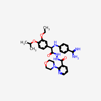 CCOc1cc(C(Nc2ccc(C(=N)N)cc2)C(=O)NNC(=O)c2cccnc2N2CCOCC2)ccc1OC(C)C